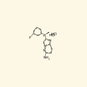 C[C@H](c1cccc(F)c1)c1cn2nc(N)ccc2n1.Cl.Cl